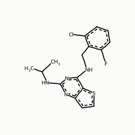 CC(C)Nc1nc(NCc2c(F)cccc2Cl)c2sccc2n1